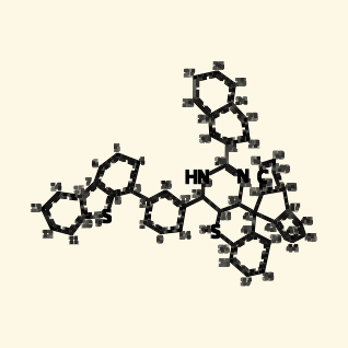 c1cc(-c2cccc3c2sc2ccccc23)cc(C2NC(c3ccc4ccccc4c3)=NC3C2Sc2ccccc2C32c3ccccc3-c3ccccc32)c1